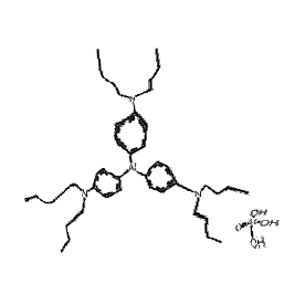 CCCCN(CCCC)c1cc[c]([Al]([c]2ccc(N(CCCC)CCCC)cc2)[c]2ccc(N(CCCC)CCCC)cc2)cc1.O=[As](O)(O)O